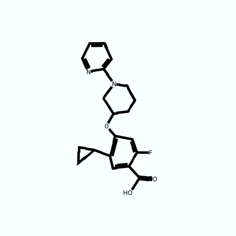 O=C(O)c1cc(C2CC2)c(OC2CCCN(c3ccccn3)C2)cc1F